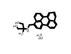 CC(CO)(CO)NCc1ccc2c3cccc4cccc(c5cccc1c52)c43.Cl.O